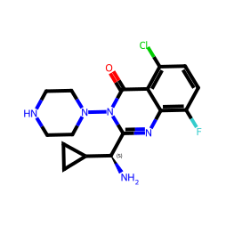 N[C@H](c1nc2c(F)ccc(Cl)c2c(=O)n1N1CCNCC1)C1CC1